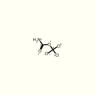 NC(=O)OC(Cl)(Cl)Cl